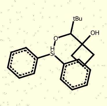 CC(C)(C)C(O[SiH](c1ccccc1)c1ccccc1)C1(O)CCC1